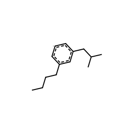 CCCCc1c[c]cc(CC(C)C)c1